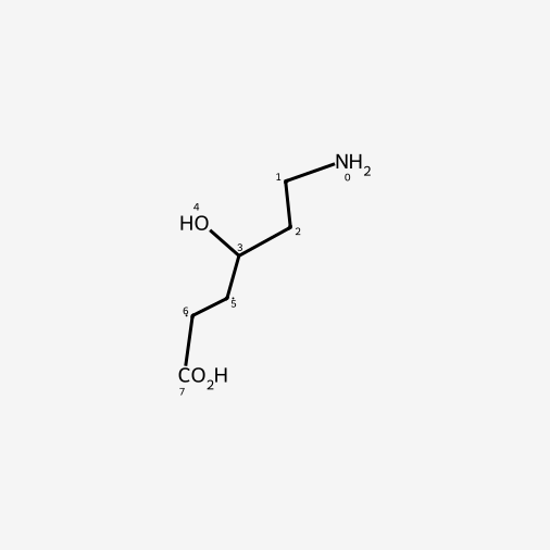 NCCC(O)[CH][CH]C(=O)O